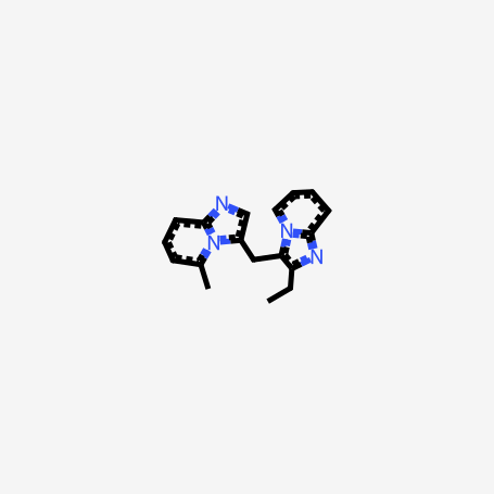 CCc1nc2ccccn2c1Cc1cnc2cccc(C)n12